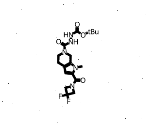 Cn1c(C(=O)N2CC(F)(F)C2)cc2c1CN(C(=O)NNC(=O)OC(C)(C)C)CC2